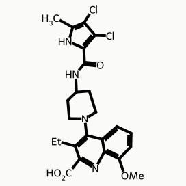 CCc1c(C(=O)O)nc2c(OC)cccc2c1N1CCC(NC(=O)c2[nH]c(C)c(Cl)c2Cl)CC1